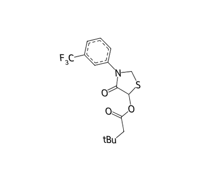 CC(C)(C)CC(=O)OC1SCN(c2cccc(C(F)(F)F)c2)C1=O